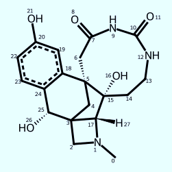 CN1CC23C[C@@]4(CC(=O)NC(=O)NCC[C@@]4(O)[C@H]12)c1cc(O)ccc1[C@H]3O